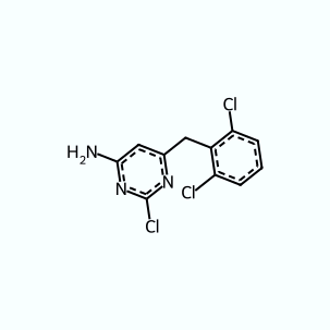 Nc1cc(Cc2c(Cl)cccc2Cl)nc(Cl)n1